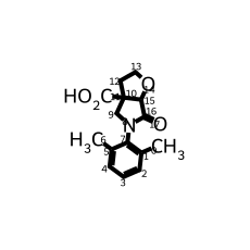 Cc1cccc(C)c1N1CC2(C(=O)O)CCOC2C1=O